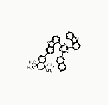 CC1(C)CCC(C)(C)c2cc(-c3ccc4c(c3)oc3cccc(-c5nc(-c6ccc7ccccc7c6)nc(-c6cccc7oc8ccccc8c67)n5)c34)ccc21